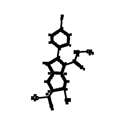 CNC(=O)c1c(-c2ccc(F)cc2)oc2cc(C(C)=O)c(O)cc12